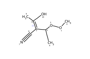 COOC(C)/C(C#N)=C(/C)O